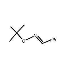 CCCC=NOC(C)(C)C